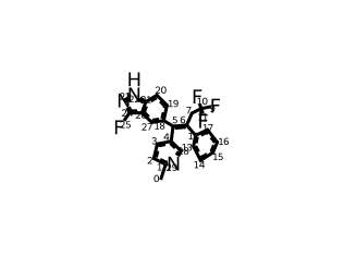 Cc1ccc(/C(=C(/CC(F)(F)F)c2ccccc2)c2ccc3[nH]nc(F)c3c2)cn1